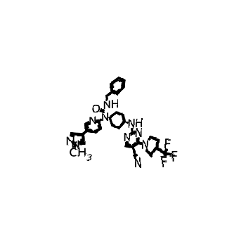 Cn1cc(-c2ccc(N(C(=O)NCc3ccccc3)[C@H]3CC[C@H](Nc4ncc(C#N)c(N5CCC(C(F)(F)F)CC5)n4)CC3)nc2)cn1